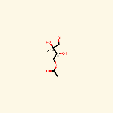 CC(=O)OC[C@@H](O)[C@@](C)(O)CO